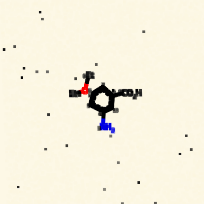 CCOCC.Nc1cccc(C(=O)O)c1